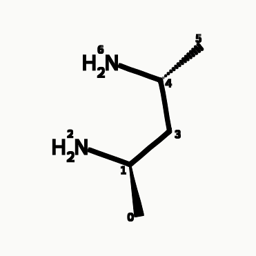 C[C@@H](N)C[C@@H](C)N